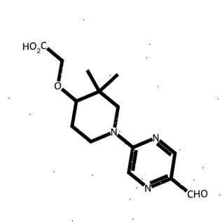 CC1(C)CN(c2cnc(C=O)cn2)CCC1OCC(=O)O